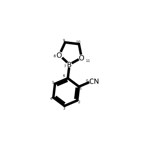 N#Cc1ccccc1B1OCCO1